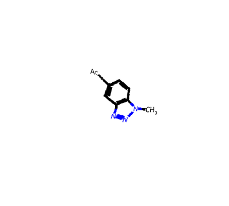 CC(=O)c1ccc2c(c1)nnn2C